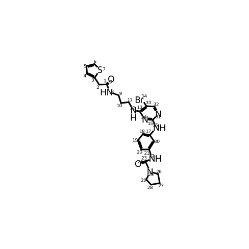 O=C(Cc1cccs1)NCCCNc1nc(Nc2cccc(NC(=O)N3CCCC3)c2)ncc1Br